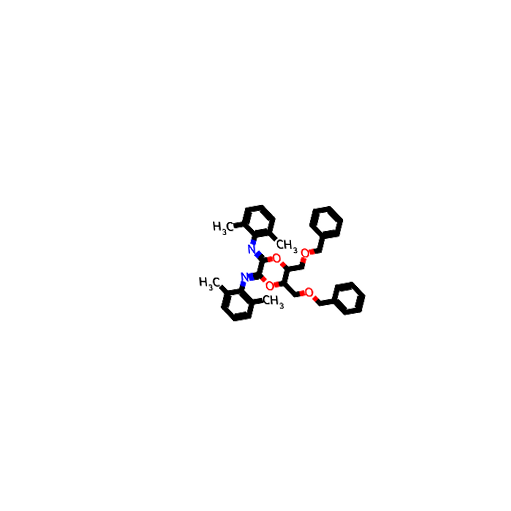 Cc1cccc(C)c1N=C1OC(COCc2ccccc2)C(COCc2ccccc2)OC1=Nc1c(C)cccc1C